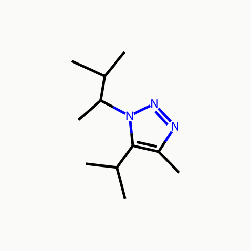 Cc1nnn(C(C)C(C)C)c1C(C)C